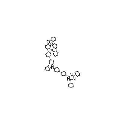 c1ccc(-c2nc(-c3ccccc3)nc(-c3ccc(-c4ccc(-n5c6ccccc6c6cc(-c7ccc8c(c7)C7(c9ccccc9-c9ccccc97)c7c-8ccc8c7Oc7ccccc7O8)ccc65)cc4)cc3)n2)cc1